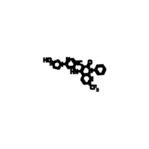 N#Cc1c(Nc2ccnc(N3CC[C@@H](O)C3)c2)c2ccc(C(F)(F)F)nc2n(-c2ccccc2)c1=O